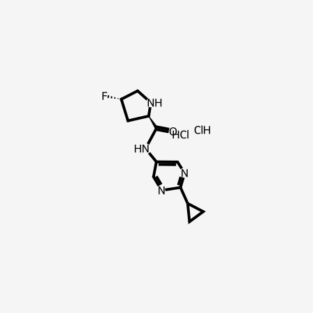 Cl.Cl.O=C(Nc1cnc(C2CC2)nc1)[C@H]1C[C@H](F)CN1